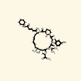 CC(=O)CC[C@H]1C(=O)N[C@@H](C(C)C)C(=O)N[C@@H](Cc2cccc(O)c2)C(=O)N2CCCC(N2)C(=O)O[C@H](/C(C)=C/C=C/C(=O)NC2CCCCC2)C/C=C/C=C/C[C@H](C)[C@H]1O